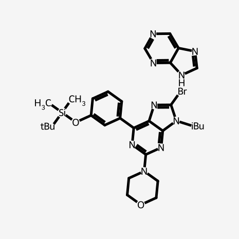 CCC(C)n1c(Br)nc2c(-c3cccc(O[Si](C)(C)C(C)(C)C)c3)nc(N3CCOCC3)nc21.c1ncc2nc[nH]c2n1